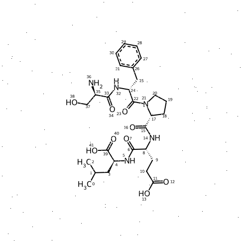 CC(C)C[C@H](NC(=O)[C@@H](CCC(=O)O)NC(=O)[C@H]1CCCN1C(=O)[C@@H](Cc1ccccc1)NC(=O)[C@H](N)CO)C(=O)O